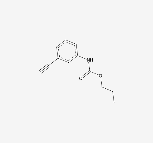 C#Cc1cccc(NC(=O)OCCC)c1